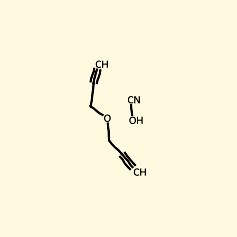 C#CCOCC#C.N#CO